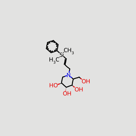 C[Si](C)(/C=C/CN1C[C@H](O)[C@@H](O)[C@H](O)C1CO)c1ccccc1